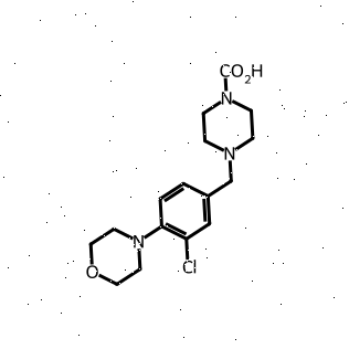 O=C(O)N1CCN(Cc2ccc(N3CCOCC3)c(Cl)c2)CC1